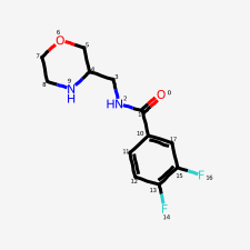 O=C(NCC1COCCN1)c1ccc(F)c(F)c1